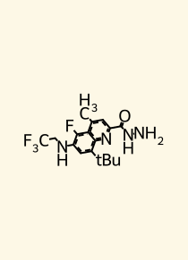 Cc1cc(C(=O)NN)nc2c(C(C)(C)C)cc(NCC(F)(F)F)c(F)c12